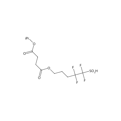 CC(C)OC(=O)CCC(=O)OCCCC(F)(F)C(F)(F)S(=O)(=O)O